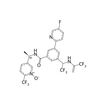 C=C(NC(c1cc(C(=O)N[C@H](C)c2ccc(C(F)(F)F)[n+]([O-])c2)cc(-c2ccc(F)cn2)c1)C(F)(F)F)C(F)(F)F